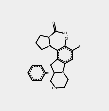 NC(=O)[C@@H]1CCCN1c1c(Cl)c(F)cc2c1C[C@]1(c3ccccc3)CNCCN21